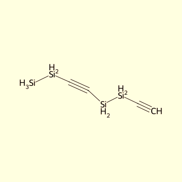 C#C[SiH2][SiH2]C#C[SiH2][SiH3]